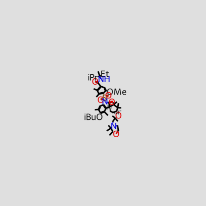 CCC(C)(NC(=O)c1cc(OC)c(S(=O)(=O)N2C(=O)[C@@]3(CC[C@](C)(OC(C)(C)CN4CCOC(C)C4(C)C)C(C)(C)C3(C)C)c3c2cc(C)c(OCC(C)C)c3C)c(C)c1C)C(C)C